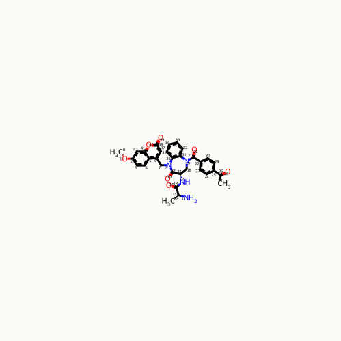 COc1ccc2c(CN3C(=O)[C@@H](NC(=O)[C@H](C)N)CN(C(=O)c4ccc(C(C)=O)cc4)c4ccccc43)cc(=O)oc2c1